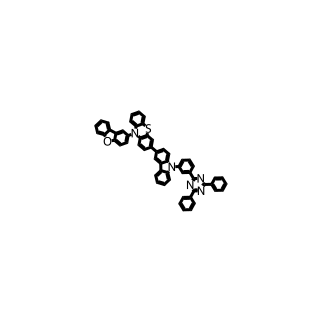 c1ccc(-c2nc(-c3ccccc3)nc(-c3cccc(-n4c5ccccc5c5cc(-c6ccc7c(c6)Sc6ccccc6N7c6ccc7oc8ccccc8c7c6)ccc54)c3)n2)cc1